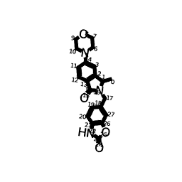 CC1c2cc(N3CCOCC3)ccc2C(=O)N1Cc1ccc2[nH]c(=O)oc2c1